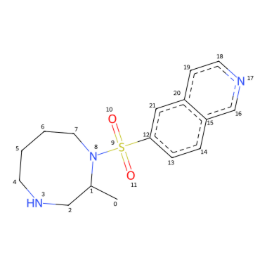 CC1CNCCCCN1S(=O)(=O)c1ccc2cnccc2c1